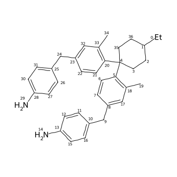 CCC1CCC(c2ccc(Cc3ccc(N)cc3)cc2C)(c2ccc(Cc3ccc(N)cc3)cc2C)CC1